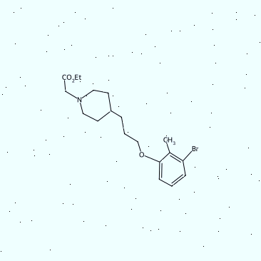 CCOC(=O)CN1CCC(CCCOc2cccc(Br)c2C)CC1